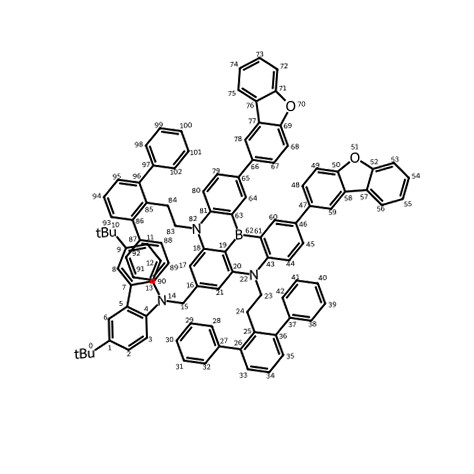 CC(C)(C)c1ccc2c(c1)c1cc(C(C)(C)C)ccc1n2Cc1cc2c3c(c1)N(CCc1c(-c4ccccc4)cccc1-c1ccccc1)c1ccc(-c4ccc5oc6ccccc6c5c4)cc1B3c1cc(-c3ccc4oc5ccccc5c4c3)ccc1N2CCc1c(-c2ccccc2)cccc1-c1ccccc1